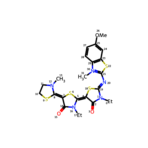 CCN1C(=O)/C(=c2/s/c(=C3/SCCN3C)c(=O)n2CC)S/C1=N\c1sc2cc(OC)ccc2[n+]1C